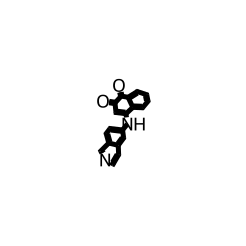 O=C1C=C(Nc2ccc3cnccc3c2)c2ccccc2C1=O